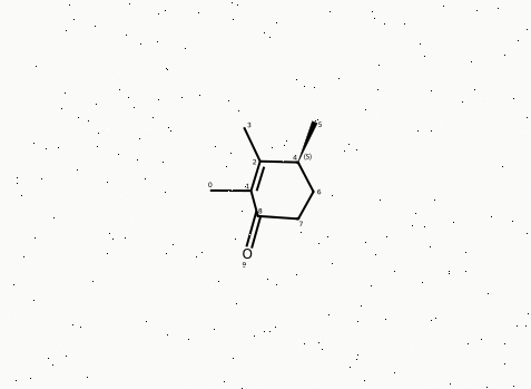 CC1=C(C)[C@@H](C)CCC1=O